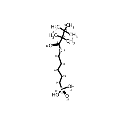 CC(C)(C)C(C)(C)C(=O)OCCCCCP(=O)(O)O